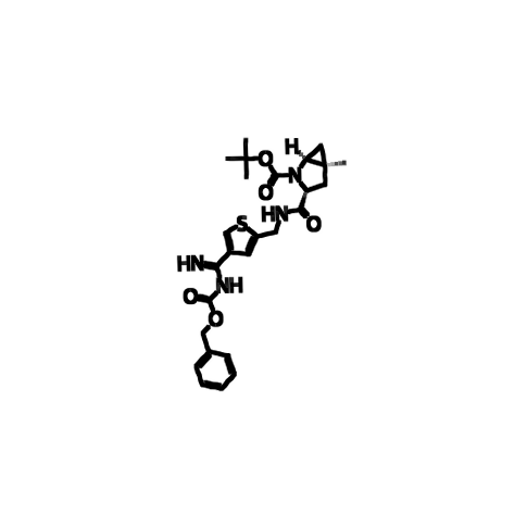 CC(C)(C)OC(=O)N1[C@H]2C[C@@]2(C)C[C@H]1C(=O)NCc1cc(C(=N)NC(=O)OCc2ccccc2)cs1